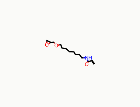 C=CC(=O)NCCCCCCCCOCC1CO1